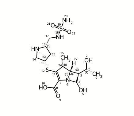 C[C@@H](O)[C@H]1C(O)N2C(C(=O)O)=C(S[C@@H]3CN[C@H](CNS(N)(=O)=O)C3)[C@H](C)[C@H]12